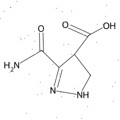 NC(=O)C1=NNCC1C(=O)O